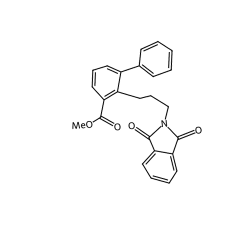 COC(=O)c1cccc(-c2ccccc2)c1CCCN1C(=O)c2ccccc2C1=O